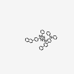 c1ccc(-c2ccc3c4ccc(N(c5ccccc5)c5ccccc5)cc4n(-c4nc(-c5ccccc5)nc(-c5ccc(-c6ccc7ccccc7c6)cc5)n4)c3c2)cc1